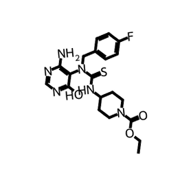 CCOC(=O)N1CCC(NC(=S)N(Cc2ccc(F)cc2)c2c(N)ncnc2O)CC1